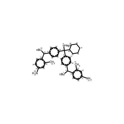 CCCCCCCC(c1ccc(C(CCCC)c2ccc(N)cc2C)cc1)(c1ccc(C(CCCC)c2ccc(N)cc2C)cc1)C1CCCCC1